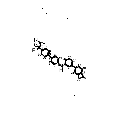 CCC(C)(CC)C1=CC=C(c2ccc(NC3=CC(c4ccc5c(c4)CC5)=CCC3)cc2)CC1